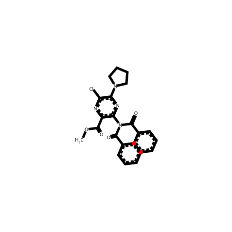 COC(=O)c1nc(Cl)c(N2CCCC2)nc1N(C(=O)c1ccccc1)C(=O)c1ccccc1